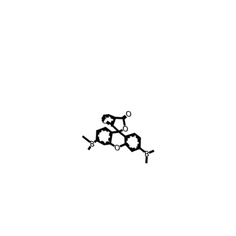 CB(C)c1ccc2c(c1)Oc1cc(B(C)C)ccc1C21OC(=O)c2ccccc21